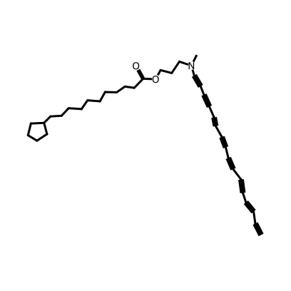 C#CC#CC#CC#CC#CC#CC#CC#CN(C)CCCOC(=O)CCCCCCCCCCC1CCCC1